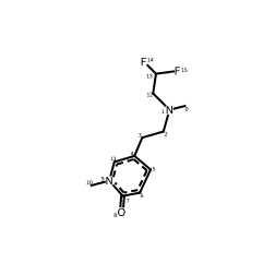 CN(CCc1ccc(=O)n(C)c1)CC(F)F